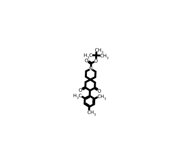 Cc1cc(C)c(C2C(=O)CC3(CCN(C(=O)OC(C)(C)C)CC3)CC2=O)c(C)c1